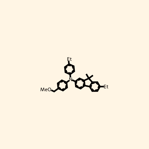 CCc1ccc(N(c2ccc(COC)cc2)c2ccc3c(c2)C(C)(C)c2cc(CC)ccc2-3)cc1